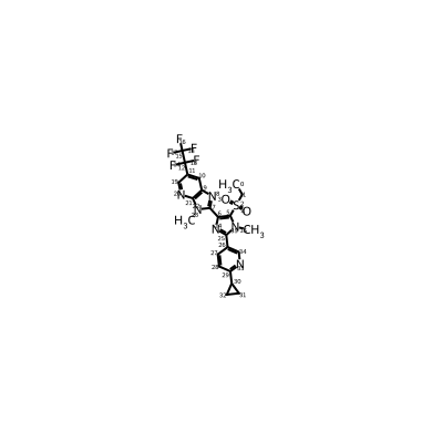 CCS(=O)(=O)c1c(-c2nc3cc(C(F)(F)C(F)(F)F)cnc3n2C)nc(-c2ccc(C3CC3)nc2)n1C